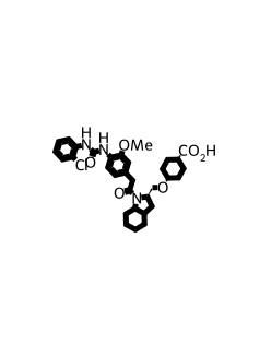 COc1cc(CC(=O)N2C3CCCCC3C[C@H]2CO[C@H]2CC[C@@H](C(=O)O)CC2)ccc1NC(=O)Nc1ccccc1Cl